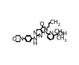 C=CCn1c(=O)c2cnc(Nc3ccc(N4CCOCC4)cc3)nc2n1-c1cccc(C(C)(C)O)n1